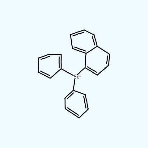 c1ccc([Se](c2ccccc2)c2cccc3ccccc23)cc1